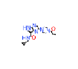 C=CC(=O)N1CCN(c2cnc3[nH]cc(C(=O)NCC4CC4)c3n2)CC1